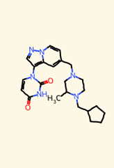 CC1CN(Cc2ccn3ncc(-n4ccc(=O)[nH]c4=O)c3c2)CCN1CC1CCCC1